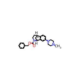 CN1CCN(c2ccc3c(c2)[C@@H]2C[C@H]3CCN2C(=O)OCc2ccccc2)CC1